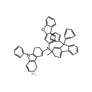 C[C@@H]1C=Cc2c(c3c(n2-c2ccccc2)CCC(N(c2ccc4c(c2)oc2ccccc24)C2(C)C=C4C(=CC2)c2ccccc2C4(c2ccccc2)c2ccccc2)=C3)C1